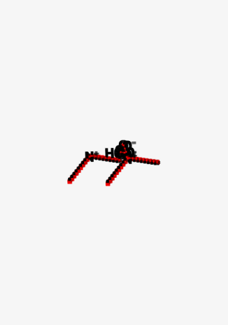 CCCCCCCCCCCCCCCCCC[N+](C)(C)CCCCCCCCCCCCCCCCCC.CCCCCCCCCCCCCCCCCC[N+](C)(C)CCCCCCCCCCCCCCCCCC.O=C([O-])c1cc(C(=O)[O-])cc(S(=O)(=O)O)c1